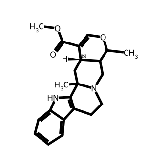 COC(=O)C1=COC(C)C2CN3CCc4c([nH]c5ccccc45)C3(C)C[C@H]12